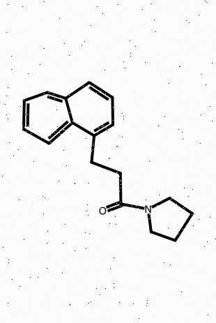 O=C(CCc1cccc2ccccc12)N1CCCC1